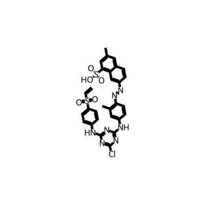 C=CS(=O)(=O)c1ccc(Nc2nc(Cl)nc(Nc3ccc(N=Nc4ccc5cc(C)cc(S(=O)(=O)O)c5c4)c(C)c3)n2)cc1